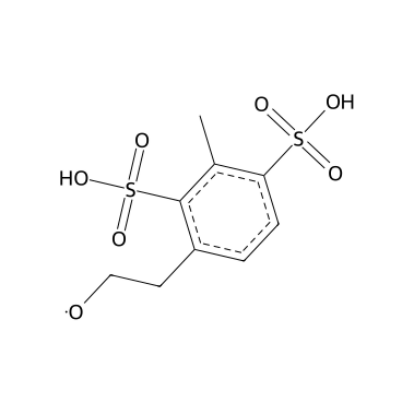 Cc1c(S(=O)(=O)O)ccc(CC[O])c1S(=O)(=O)O